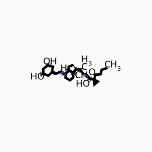 CCCCC(=O)C1([C@@H](O)/C=C/[C@@H](C)[C@H]2CC[C@H]3/C(=C/C=C4C[C@@H](O)C[C@H](O)C4)CCC[C@]23C)CC1